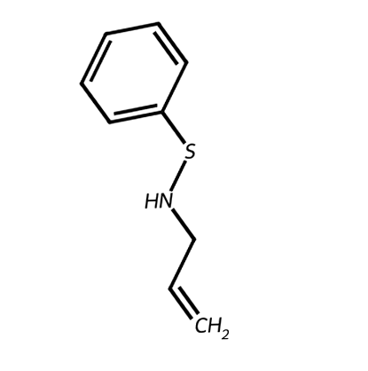 C=CCNSc1ccccc1